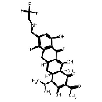 CN(C)[C@@H]1C(O)=C(C(N)=O)C(=O)[C@@]2(O)C(O)=C3C(=O)c4c(O)cc(CNCC(F)(F)F)c(F)c4C[C@H]3C[C@@H]12